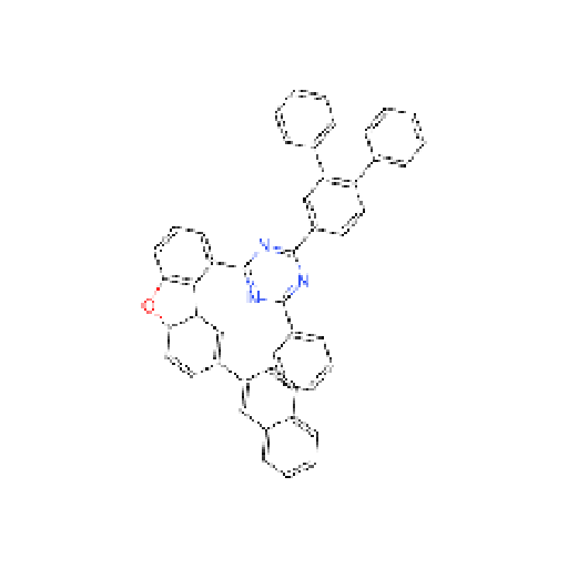 C1=CC2Oc3cccc(-c4nc(-c5ccccc5)nc(-c5ccc(-c6ccccc6)c(-c6ccccc6)c5)n4)c3C2C=C1c1ccc2ccccc2c1